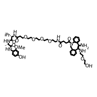 COc1cc(O)ccc1NC(=O)[C@H](C)NC(=O)[C@@H](NC(=O)CCOCCOCCOCCOCCNC(=O)CCC(=O)N1Cc2ccccc2/C(NCCOCCO)=C(/N)c2ccccc21)C(C)C